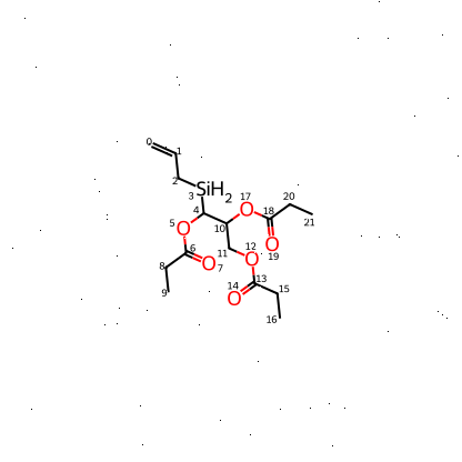 C=CC[SiH2]C(OC(=O)CC)C(COC(=O)CC)OC(=O)CC